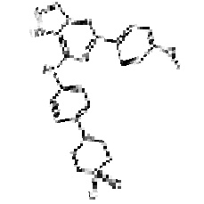 COc1ccc(-c2nc(Nc3ccc(N4CCS(=O)(=O)CC4)cc3)c3[nH]ncc3n2)cc1